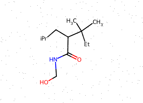 CCC(C)(C)C(CC(C)C)C(=O)NCO